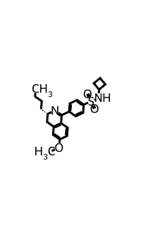 CCCC[C@H]1Cc2cc(OC)ccc2C(c2ccc(S(=O)(=O)NC3CCC3)cc2)=N1